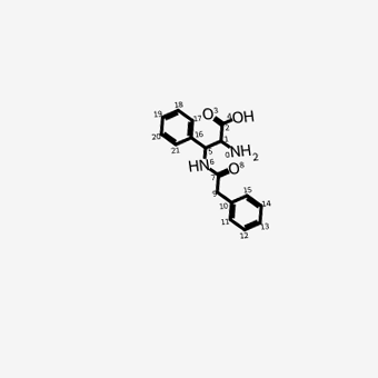 NC(C(=O)O)C(NC(=O)Cc1ccccc1)c1ccccc1